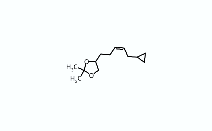 CC1(C)OCC(CC/C=C\CC2CC2)O1